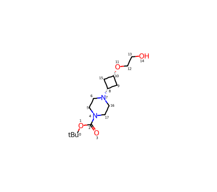 CC(C)(C)OC(=O)N1CCN([C@H]2C[C@@H](OCCO)C2)CC1